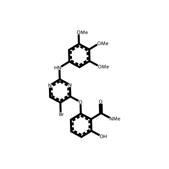 CNC(=O)c1c(O)cccc1Oc1nc(Nc2cc(OC)c(OC)c(OC)c2)ncc1Br